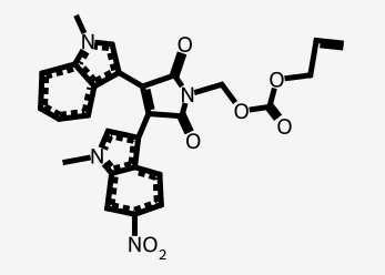 C=CCOC(=O)OCN1C(=O)C(c2cn(C)c3ccccc23)=C(c2cn(C)c3cc([N+](=O)[O-])ccc23)C1=O